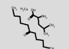 CC(C)CC(N)C(=O)O.CCCCCC(=O)CCCCC.[CaH2]